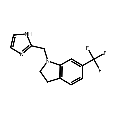 FC(F)(F)c1ccc2c(c1)N(Cc1ncc[nH]1)CC2